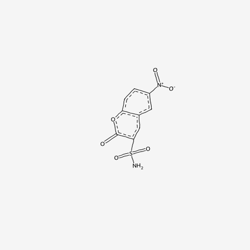 NS(=O)(=O)c1cc2cc([N+](=O)[O-])ccc2oc1=O